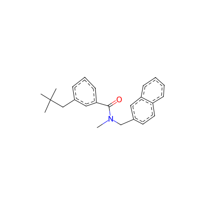 CN(Cc1ccc2ccccc2c1)C(=O)c1cccc(CC(C)(C)C)c1